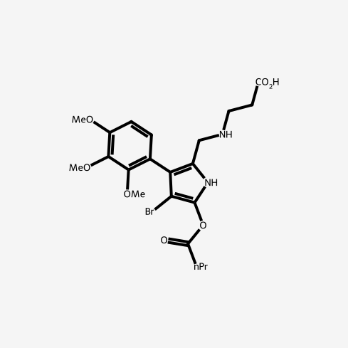 CCCC(=O)Oc1[nH]c(CNCCC(=O)O)c(-c2ccc(OC)c(OC)c2OC)c1Br